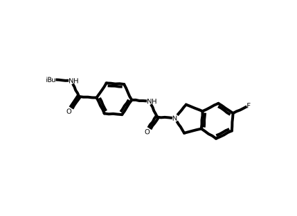 CCC(C)NC(=O)c1ccc(NC(=O)N2Cc3ccc(F)cc3C2)cc1